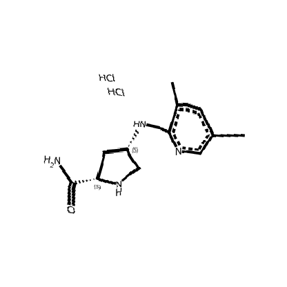 Cc1cnc(N[C@@H]2CN[C@H](C(N)=O)C2)c(C)c1.Cl.Cl